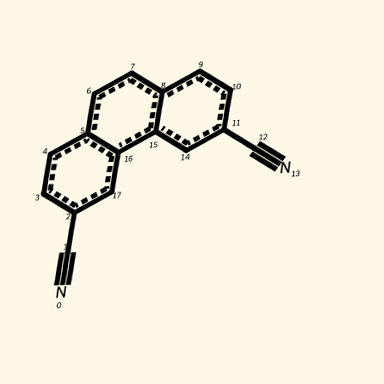 N#Cc1ccc2ccc3ccc(C#N)cc3c2c1